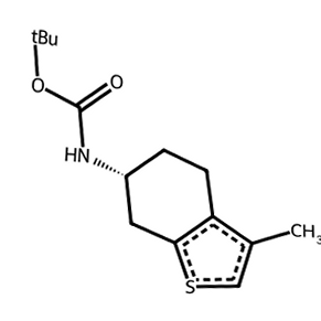 Cc1csc2c1CC[C@@H](NC(=O)OC(C)(C)C)C2